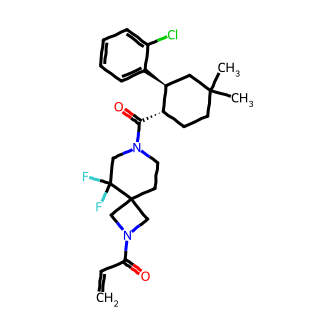 C=CC(=O)N1CC2(CCN(C(=O)[C@H]3CCC(C)(C)C[C@@H]3c3ccccc3Cl)CC2(F)F)C1